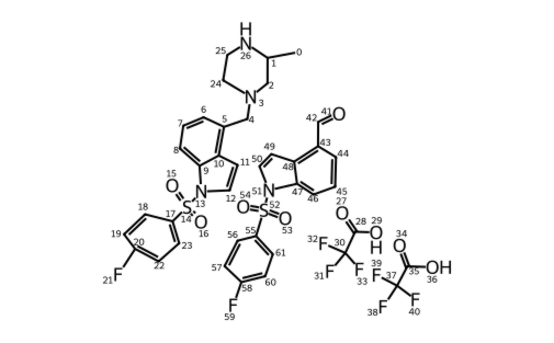 CC1CN(Cc2cccc3c2ccn3S(=O)(=O)c2ccc(F)cc2)CCN1.O=C(O)C(F)(F)F.O=C(O)C(F)(F)F.O=Cc1cccc2c1ccn2S(=O)(=O)c1ccc(F)cc1